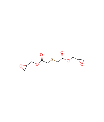 O=C(CSCC(=O)OCC1CO1)OCC1CO1